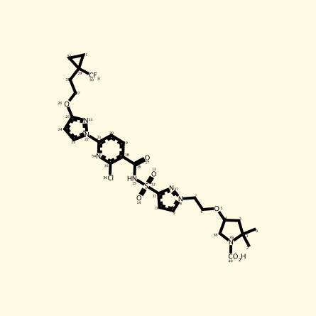 CC1(C)CC(OCCn2ccc(S(=O)(=O)NC(=O)c3ccc(-n4ccc(OCCC5(C(F)(F)F)CC5)n4)nc3Cl)n2)CN1C(=O)O